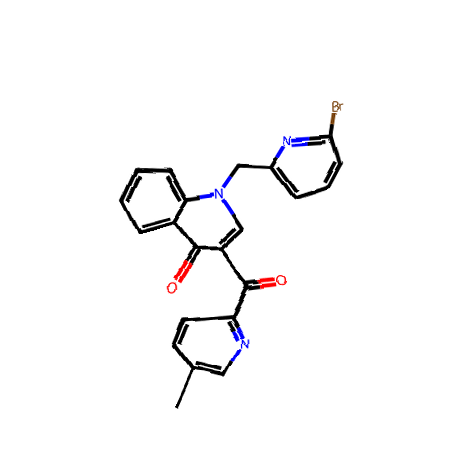 Cc1ccc(C(=O)c2cn(Cc3cccc(Br)n3)c3ccccc3c2=O)nc1